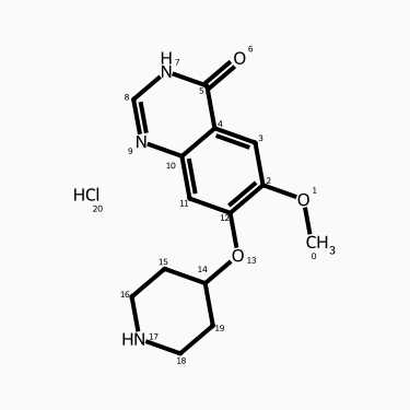 COc1cc2c(=O)[nH]cnc2cc1OC1CCNCC1.Cl